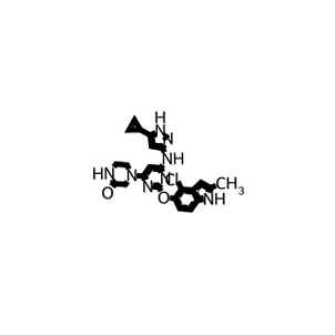 Cc1cc2c(Cl)c(Oc3nc(Nc4cc(C5CC5)[nH]n4)cc(N4CCNC(=O)C4)n3)ccc2[nH]1